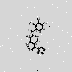 C[C@@H]1c2ncnc(-c3ccn[nH]3)c2CCN1C(=O)c1ccc(F)c(Cl)c1Cl